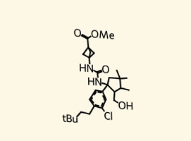 COC(=O)C12CC(NC(=O)NC3(c4ccc(CCC(C)(C)C)c(Cl)c4)CC(C)(C)C(C)C3CO)(C1)C2